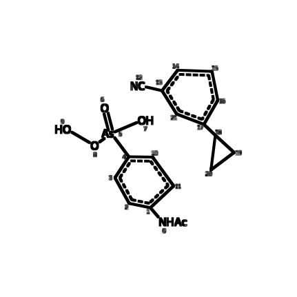 CC(=O)Nc1ccc([As](=O)(O)OO)cc1.N#Cc1cccc(C2CC2)c1